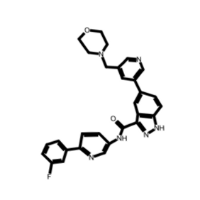 O=C(Nc1ccc(-c2cccc(F)c2)nc1)c1n[nH]c2ccc(-c3cncc(CN4CCOCC4)c3)cc12